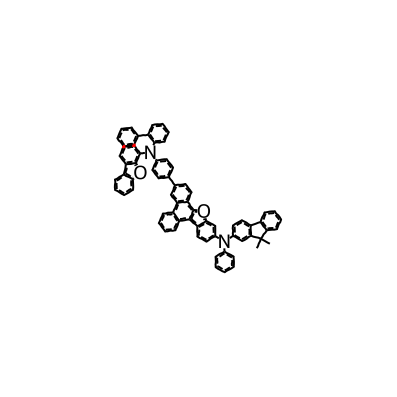 CC1(C)c2ccccc2-c2ccc(N(c3ccccc3)c3ccc4c(c3)oc3c5ccc(-c6ccc(N(c7ccccc7-c7ccccc7)c7cccc8c7oc7ccccc78)cc6)cc5c5ccccc5c43)cc21